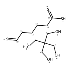 CCC(CO)(CO)CO.S=CCCCCC(=S)S